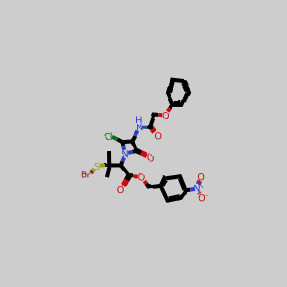 CC(C)(SBr)C(C(=O)OCc1ccc([N+](=O)[O-])cc1)N1C(=O)C(NC(=O)COc2ccccc2)C1Cl